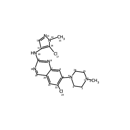 CN1CCN(c2cc3nc(Nc4cnn(C)c4Cl)ncc3cc2Cl)CC1